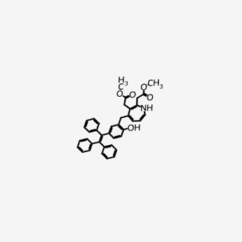 COC(=O)CC1=C(CC(=O)OC)C(Cc2cc(C(=C(c3ccccc3)c3ccccc3)c3ccccc3)ccc2O)=CC=CN1